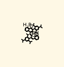 CC(C)c1cc(C(C)C)c(C(=C/c2ccccc2)/C(O)=C/c2c(O)c(-c3c(C(C)C)cc(C(C)C)cc3C(C)OP)cc3ccccc23)c(C(C)C)c1